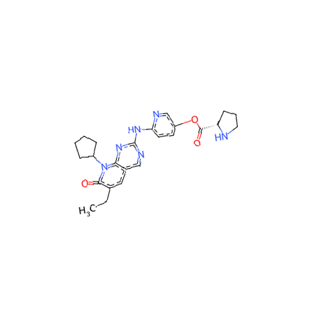 CCc1cc2cnc(Nc3ccc(OC(=O)[C@@H]4CCCN4)cn3)nc2n(C2CCCC2)c1=O